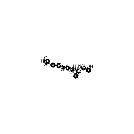 Nc1nnc(-c2ccccc2O)cc1N1CCC(OCC(=O)NC2CCN(C(=O)CN3CCC(c4ccc(O[C@H]5CCC(=O)NC5=O)cc4)CC3)CC2)(c2ccccc2)CC1